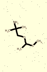 CSC(C)OCC(C)(C)N